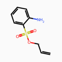 C=C[CH]OS(=O)(=O)c1ccccc1N